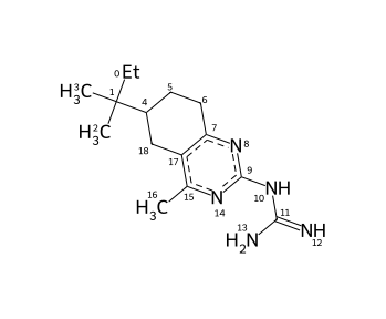 CCC(C)(C)C1CCc2nc(NC(=N)N)nc(C)c2C1